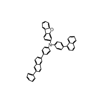 c1ccc(-c2ccc3cc(-c4ccc(N(c5ccc(-c6cccc7ccccc67)cc5)c5ccc6c(c5)oc5ccccc56)cc4)ccc3c2)cc1